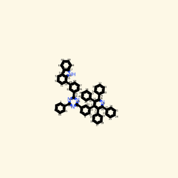 c1ccc(-c2nc(-c3cccc(-c4c(-c5ccccc5)c(-c5ccccc5)nc(-c5ccccc5)c4-c4ccccc4)c3)nc(-c3cccc(-c4cccc5c4[nH]c4ccccc45)c3)n2)cc1